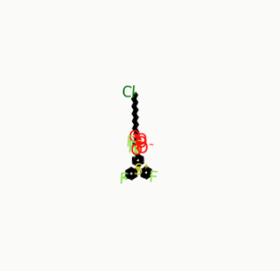 Fc1ccc([S+](c2ccc(F)cc2)c2ccc(F)cc2)cc1.O=C(OCCCCCCCCCCCCl)C(F)(F)S(=O)(=O)[O-]